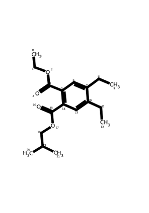 CCOC(=O)c1cc(CC)c(CC)cc1C(=O)OCC(C)C